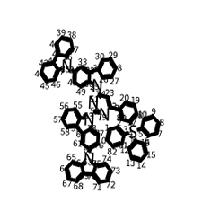 c1ccc(S(c2ccccc2)(c2ccccc2)c2cccc(-c3cc(-n4c5ccccc5c5cc(-n6c7ccccc7c7ccccc76)ccc54)nc(-n4c5ccccc5c5cc(-n6c7ccccc7c7ccccc76)ccc54)n3)c2)cc1